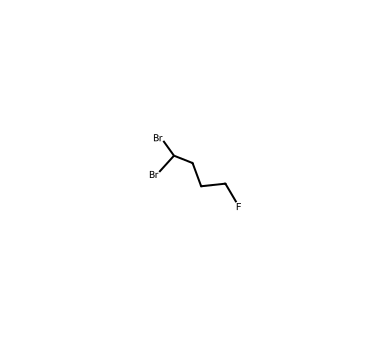 FCCCC(Br)Br